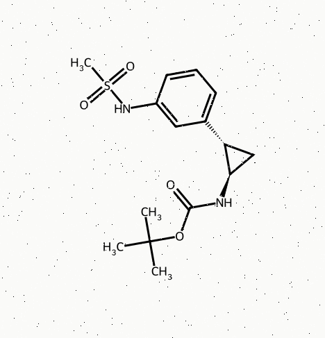 CC(C)(C)OC(=O)N[C@@H]1C[C@H]1c1cccc(NS(C)(=O)=O)c1